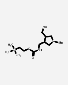 CC(C)(C)N1CC(CO)C(CNC(=O)OCC[Si](C)(C)C)C1